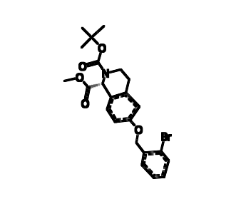 COC(=O)[C@H]1c2ccc(OCc3ccccc3Br)cc2CCN1C(=O)OC(C)(C)C